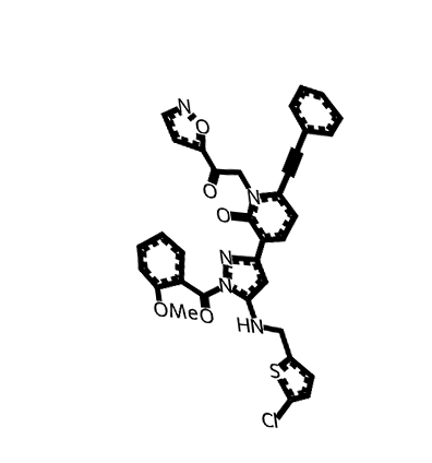 COc1ccccc1C(=O)n1nc(-c2ccc(C#Cc3ccccc3)n(CC(=O)c3ccno3)c2=O)cc1NCc1ccc(Cl)s1